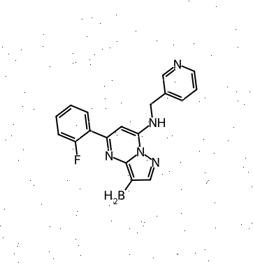 Bc1cnn2c(NCc3cccnc3)cc(-c3ccccc3F)nc12